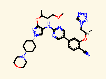 COCCC(C)Oc1nn([C@H]2CC[C@H](N3CCOCC3)CC2)cc1Nc1ncc(-c2ccc(C#N)c(O[C@@H](C)Cn3cnnn3)c2)cn1